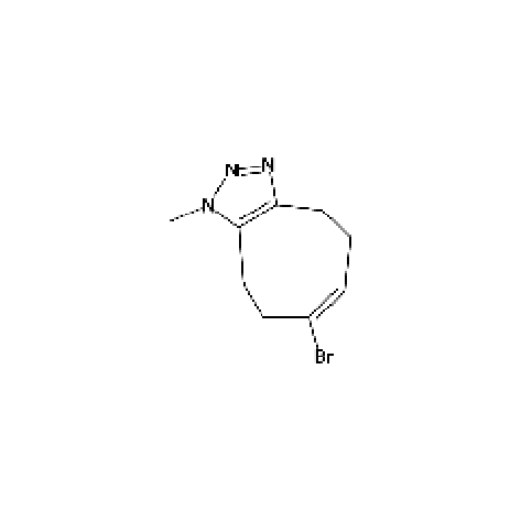 Cn1nnc2c1CC/C(Br)=C\CC2